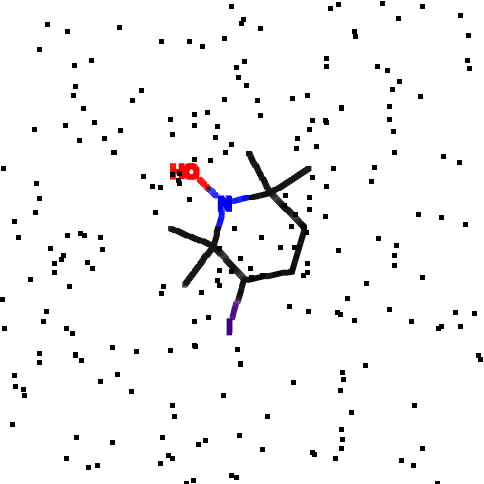 CC1(C)CCC(I)C(C)(C)N1O